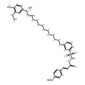 COc1ccc(/C=C/C(=O)ONS(=O)(=O)c2cccc(CCCCOCCCCCCNC[C@@H](O)c3ccc(O)c(CO)c3)c2)cc1